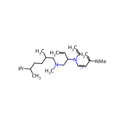 C=CC(CN(C)CC(C)CCC(C)C(C)C)N(C=C)/C=C\C(=C)NC